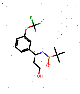 CC(C)(C)[S+]([O-])N[C@@H](CCO)c1cccc(OC(F)(F)F)c1